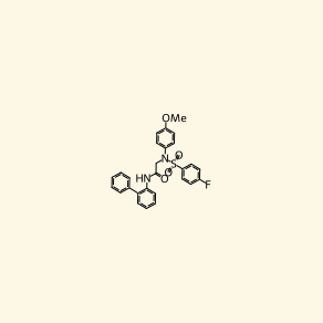 COc1ccc(N(CC(=O)Nc2ccccc2-c2ccccc2)S(=O)(=O)c2ccc(F)cc2)cc1